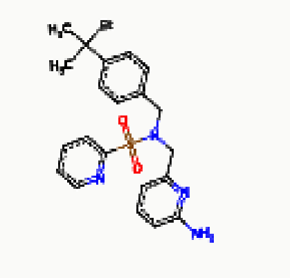 CCC(C)(C)c1ccc(CN(Cc2cccc(N)n2)S(=O)(=O)c2ccccn2)cc1